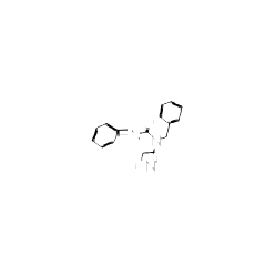 N#CCC(=O)N(Cc1ccccc1)C(=O)NCc1ccccc1